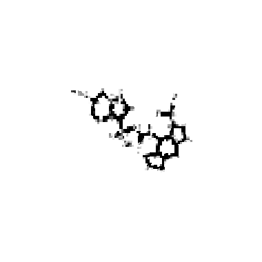 CN[C@@H]1COc2c([S@](N)(=O)=NC(=O)Nc3c4c(cc5c3[C@@H](C(F)F)CC5)CCC4)cnn2C1